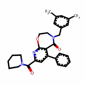 O=C(c1cc(-c2ccccc2)c2c(n1)OCCN(Cc1cc(C(F)(F)F)cc(C(F)(F)F)c1)C2=O)N1CCCCC1